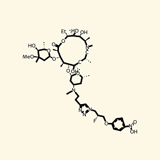 CC[C@H]1OC(=O)[C@H](C)[C@@H](O[C@H]2C[C@@](C)(OC)[C@@H](O)[C@H](C)O2)[C@H](C)[C@@H](O[C@H]2C[C@@H](N(C)CCc3cn(C[C@@H](F)COc4ccc([N+](=O)O)cc4)nn3)C[C@@H](C)O2)[C@](C)(O)C[C@@H](C)CN(C)[C@H](C)[C@@H](O)[C@]1(C)O